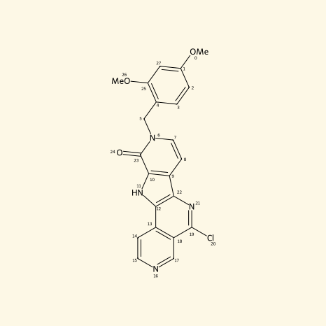 COc1ccc(Cn2ccc3c([nH]c4c5ccncc5c(Cl)nc34)c2=O)c(OC)c1